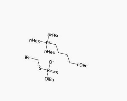 CC(C)COP([O-])(=S)SCC(C)C.CCCCCCCCCCCCCC[P+](CCCCCC)(CCCCCC)CCCCCC